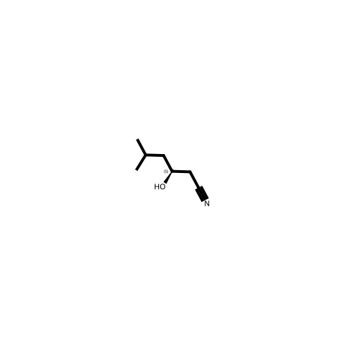 CC(C)C[C@H](O)CC#N